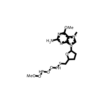 COOPOOPSCC1CCC(n2c[n+](C)c3c(OC)nc(N)nc32)O1